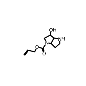 C=CCOC(=O)N1CC(O)C2NCCC21